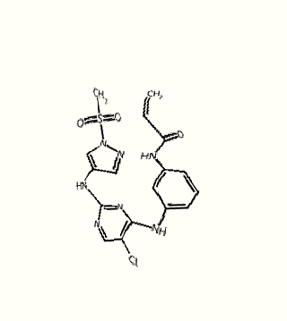 C=CC(=O)Nc1cccc(Nc2nc(Nc3cnn(S(C)(=O)=O)c3)ncc2Cl)c1